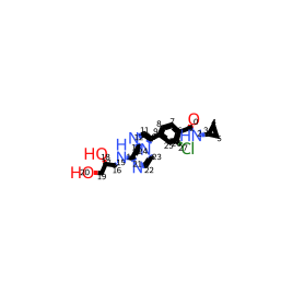 O=C(NC1CC1)c1ccc(-c2cnc3c(NCC(O)CO)nccn23)cc1Cl